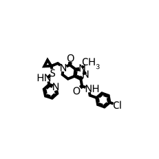 Cn1nc(C(=O)NCc2ccc(Cl)cc2)c2c1C(=O)N(CC1(SNc3ccccn3)CC1)CC2